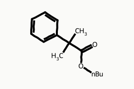 CCCCOC(=O)C(C)(C)c1ccccc1